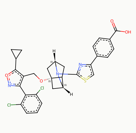 O=C(O)c1ccc(-c2csc(N3[C@H]4CC5[C@@H]3C[C@@]5(OCc3c(-c5c(Cl)cccc5Cl)noc3C3CC3)C4)n2)cc1